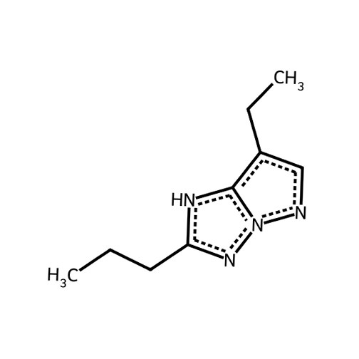 CCCc1nn2ncc(CC)c2[nH]1